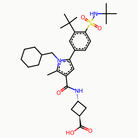 Cc1c(C(=O)N[C@H]2C[C@H](C(=O)O)C2)cc(-c2ccc(S(=O)(=O)NC(C)(C)C)c(C(C)(C)C)c2)n1CC1CCCCC1